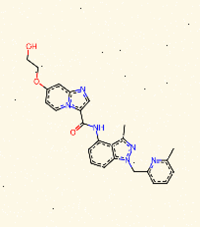 Cc1cccc(Cn2nc(C)c3c(NC(=O)c4cnc5cc(OCCO)ccn45)cccc32)n1